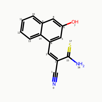 N#C/C(=C/c1cc(O)cc2ccccc12)C(N)=S